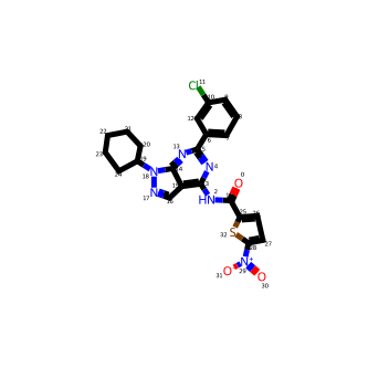 O=C(Nc1nc(-c2cccc(Cl)c2)nc2c1cnn2C1CCCCC1)c1ccc([N+](=O)[O-])s1